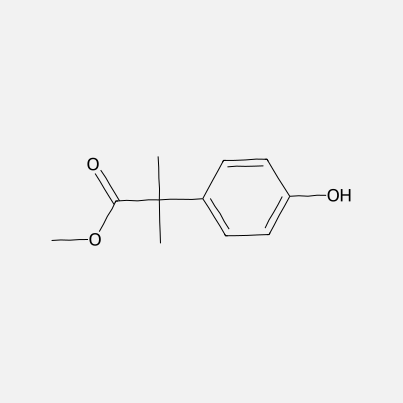 COC(=O)C(C)(C)c1ccc(O)cc1